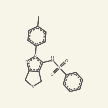 Cc1ccc(-n2nc3c(c2NS(=O)(=O)c2ccccc2)CSC3)cc1